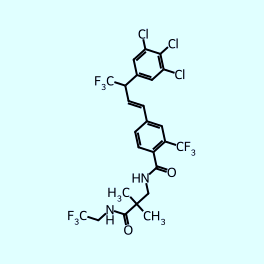 CC(C)(CNC(=O)c1ccc(/C=C/C(c2cc(Cl)c(Cl)c(Cl)c2)C(F)(F)F)cc1C(F)(F)F)C(=O)NCC(F)(F)F